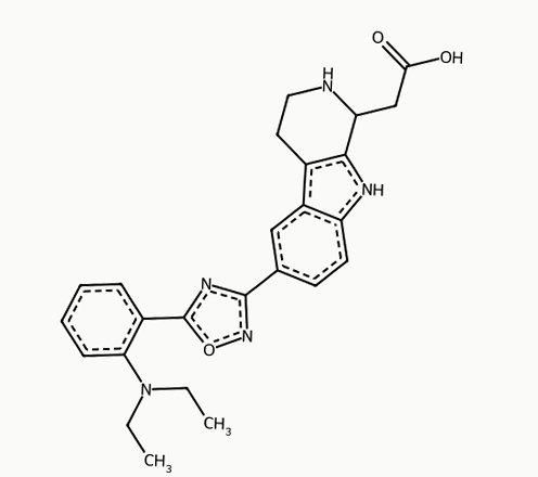 CCN(CC)c1ccccc1-c1nc(-c2ccc3[nH]c4c(c3c2)CCNC4CC(=O)O)no1